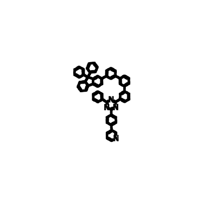 c1ccc(-c2nc(-c3ccc(-c4cccnc4)cc3)nc(-c3cccc(-c4cccc(-c5cccc(-c6ccc7c(c6)C(c6ccccc6)(c6ccccc6)c6ccccc6-7)c5)c4)c3)n2)cc1